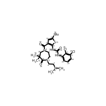 CN(C)CCN1CCN(C(=O)c2cc(C(C)(C)C)sc2NC(=O)Nc2cccc(Cl)c2Cl)CC(C)(C)C1=O